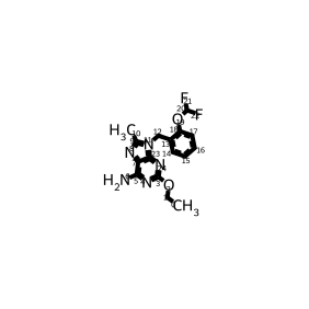 CCOc1nc(N)c2nc(C)n(Cc3ccccc3OC(F)F)c2n1